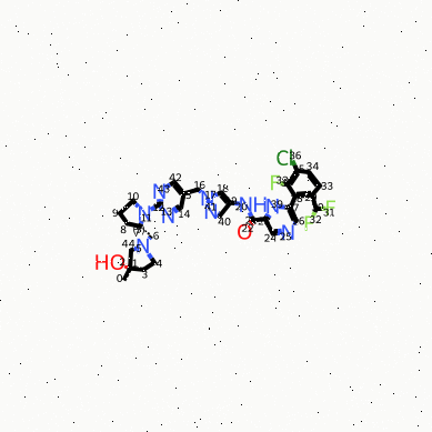 CC1(O)CCN(C[C@@H]2CCCN2c2ncc(Cn3cc(NC(=O)c4cncc(-c5c(C(F)F)ccc(Cl)c5F)n4)cn3)cn2)C1